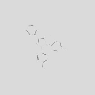 COc1ccc(C2N=C(c3ccccc3)C(C)N2c2ccc(Cl)cc2)cc1